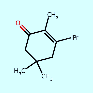 CC1=C(C(C)C)CC(C)(C)CC1=O